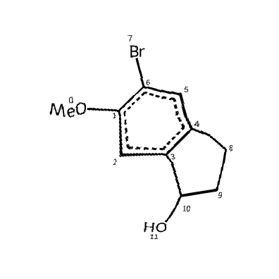 COc1cc2c(cc1Br)CCC2O